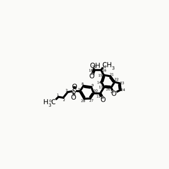 CCCCS(=O)(=O)c1ccc(C(=O)c2cc(C(C)C(=O)O)cc3ccoc23)cc1